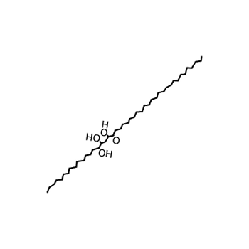 CCCCCCCCCCCCCCCCCCCCCCCCCC(=O)C(O)CC(O)C(O)CCCCCCCCCCCCCC